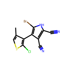 Cc1csc(Cl)c1-c1c(Br)[nH]c(C#N)c1C#N